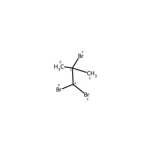 CC(C)(Br)[C](Br)Br